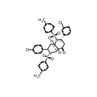 Cc1ccc(S(=O)(=O)N2C[C@H]3C(=O)C[C@@H](c4cccc(Cl)c4)N(S(=O)(=O)c4ccc(C)cc4)[C@H]3CC2c2ccc(Cl)cc2)cc1